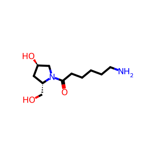 NCCCCCC(=O)N1C[C@H](O)C[C@H]1CO